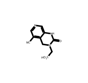 N#Cc1cncc2c1CN(CC(=O)O)C(=O)N2